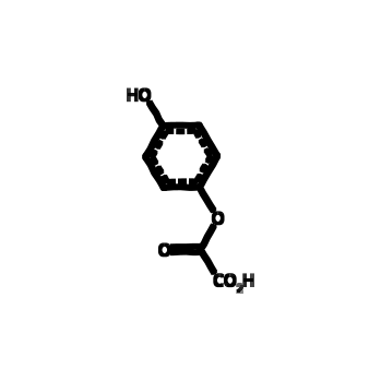 O=C(O)C(=O)Oc1ccc(O)cc1